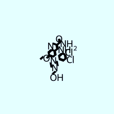 CCOc1cc2ncc(C(N)=O)c(Nc3cccc(Cl)c3Cl)c2cc1N1CCN(CCO)CC1